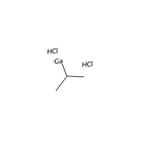 C[CH](C)[Ga].Cl.Cl